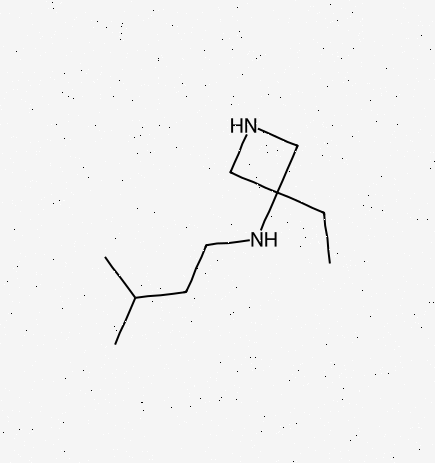 CCC1(NCCC(C)C)CNC1